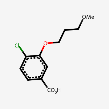 COCCCOc1cc(C(=O)O)ccc1Cl